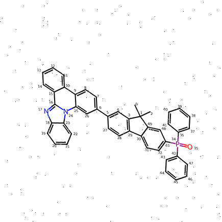 CC1(C)c2cc(-c3ccc4c5ccccc5c5nc6ccccc6n5c4c3)ccc2-c2ccc(P(=O)(c3ccccc3)c3ccccc3)cc21